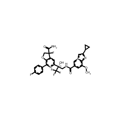 COc1cc(C(=O)NC[C@](O)(c2cc3c(c(-c4ccc(F)cc4)n2)OCC3(F)C(N)=O)C(F)(F)F)cn2cc(C3CC3)nc12